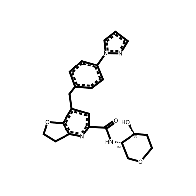 O=C(N[C@H]1COCC[C@@H]1O)c1cc(Cc2ccc(-n3cccn3)cc2)c2c(n1)CCO2